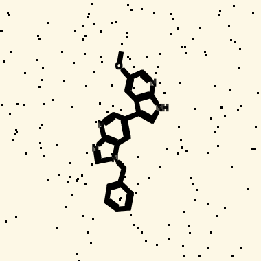 COc1cnc2[nH]cc(-c3cnc4ncn(Cc5ccccc5)c4c3)c2c1